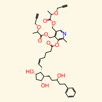 C#CCOC(C)C(=O)OCc1cnc(C)c(OC(=O)CCC/C=C\C[C@@H]2[C@@H](CCC(O)CCc3ccccc3)[C@H](O)C[C@@H]2O)c1COC(=O)C(C)OCC#C